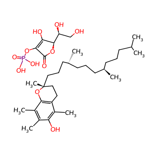 Cc1c(C)c2c(c(C)c1O)CC[C@@](C)(CCC[C@H](C)CCC[C@H](C)CCCC(C)C)O2.O=C1O[C@H]([C@@H](O)CO)C(O)=C1OP(=O)(O)O